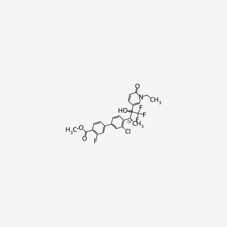 CCn1cc([C@@](O)([C@@H](C)c2ccc(-c3ccc(C(=O)OC)c(F)c3)cc2Cl)C(F)(F)F)ccc1=O